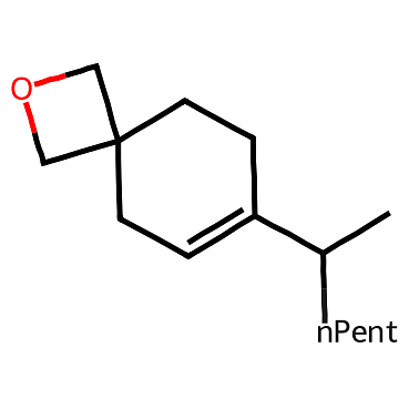 CCCCCC(C)C1=CCC2(CC1)COC2